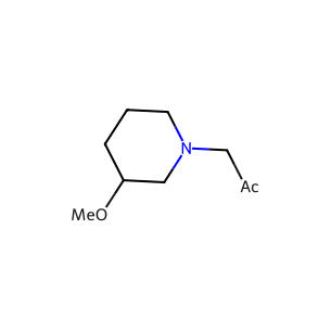 COC1CCCN(CC(C)=O)C1